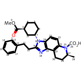 COC(=O)[C@H]1CCC[C@H](n2c(CCc3ccccc3)nc3c4c(ccc32)N(C(=O)O)[C@@H](C)CC4)C1